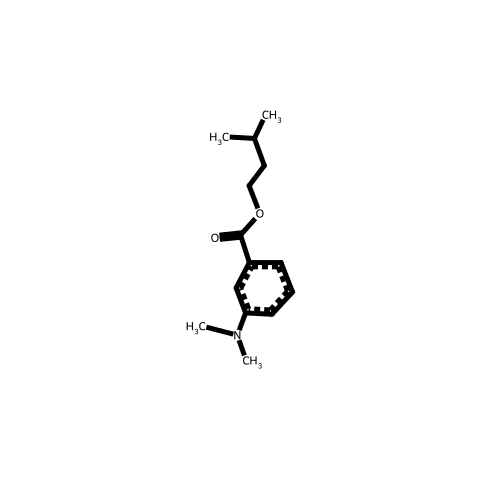 CC(C)CCOC(=O)c1cccc(N(C)C)c1